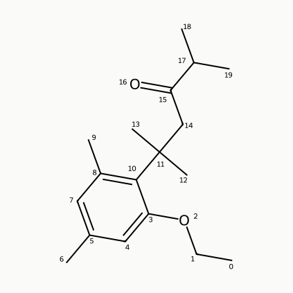 CCOc1cc(C)cc(C)c1C(C)(C)CC(=O)C(C)C